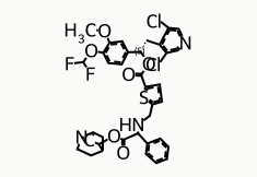 COc1cc([C@H](Cc2c(Cl)cncc2Cl)OC(=O)c2ccc(CNC(C(=O)OC3CN4CCC3CC4)c3ccccc3)s2)ccc1OC(F)F